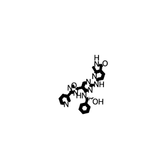 O=C1NCc2nc(Nc3ncc(-c4nc(-c5cccnc5)no4)c(N[C@H](CO)c4ccccc4)n3)ccc21